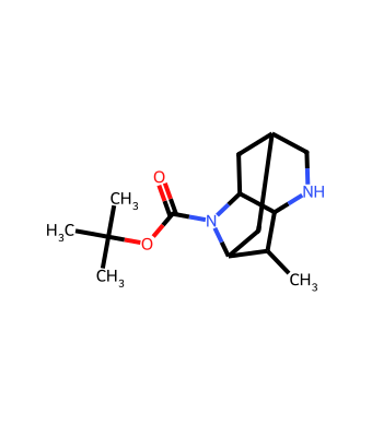 CC1C2NCC3CC1N(C(=O)OC(C)(C)C)C2C3